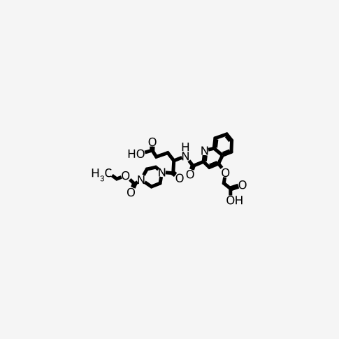 CCOC(=O)N1CCN(C(=O)C(CCC(=O)O)NC(=O)c2cc(OCC(=O)O)c3ccccc3n2)CC1